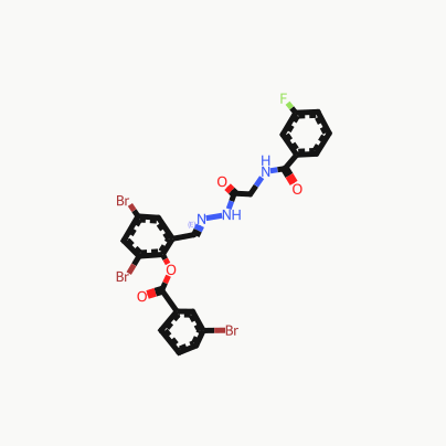 O=C(CNC(=O)c1cccc(F)c1)N/N=C/c1cc(Br)cc(Br)c1OC(=O)c1cccc(Br)c1